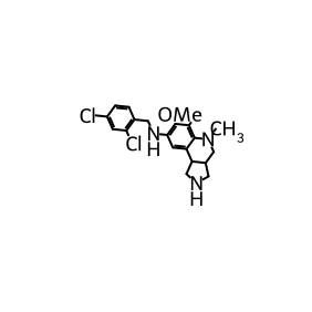 COc1cc(NCc2ccc(Cl)cc2Cl)cc2c1N(C)CC1CNCC21